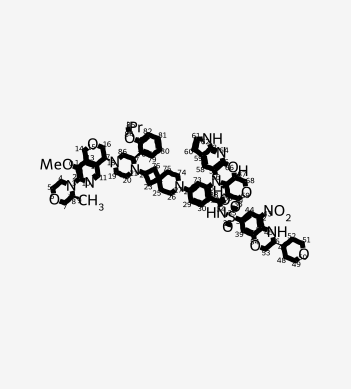 COc1c(N2CCOC[C@@H]2C)ncc2c1COC[C@@H]2N1CCN(C2CC3(CCN(c4ccc(C(=O)NS(=O)(=O)c5cc6c(c([N+](=O)[O-])c5)N[C@H](C5CCOCC5)CO6)c(N5c6cc7cc[nH]c7nc6O[C@H]6COCC[C@@H]65)c4)CC3)C2)[C@H](c2ccccc2OC(C)C)C1